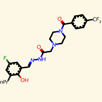 CCCc1cc(F)cc(/C=N/NC(=O)CN2CCN(C(=O)c3ccc(C(F)(F)F)cc3)CC2)c1O